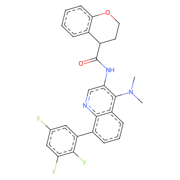 CN(C)c1c(NC(=O)C2CCOc3ccccc32)cnc2c(-c3cc(F)cc(F)c3F)cccc12